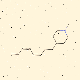 C=C/C=C\C=C/CCC1CCN(C)CC1